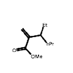 C=C(C(=O)OC)C(CC)CCC